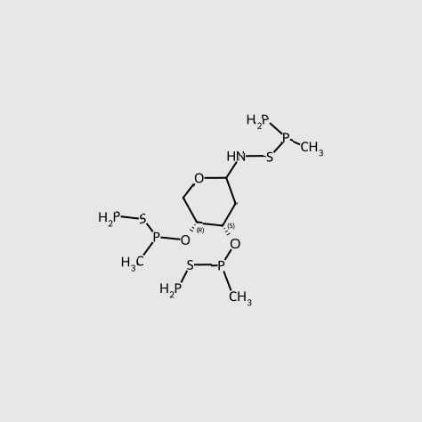 CP(P)SNC1C[C@H](OP(C)SP)[C@H](OP(C)SP)CO1